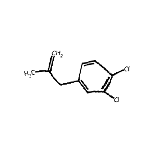 C=C(C)Cc1ccc(Cl)c(Cl)c1